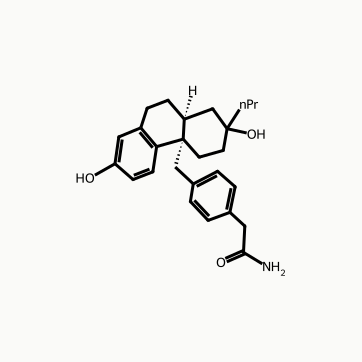 CCCC1(O)CC[C@@]2(Cc3ccc(CC(N)=O)cc3)c3ccc(O)cc3CC[C@H]2C1